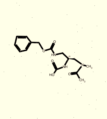 CC(=O)N(C)C[C@H](CNC(=O)OCc1ccccc1)NC(=O)O